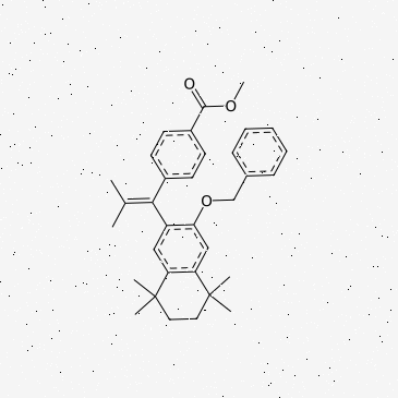 COC(=O)c1ccc(C(=C(C)C)c2cc3c(cc2OCc2ccccc2)C(C)(C)CCC3(C)C)cc1